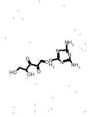 Nc1nc(N)nc(N)n1.O=CC(=O)C(=O)C(O)CO